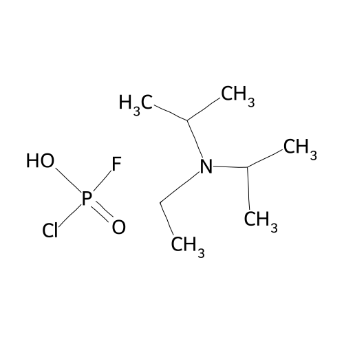 CCN(C(C)C)C(C)C.O=P(O)(F)Cl